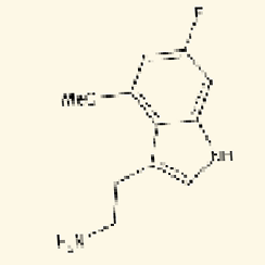 COc1cc(F)cc2[nH]cc(CCN)c12